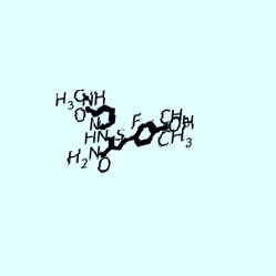 CNC(=O)c1cccc(Nc2sc(-c3ccc(C(C)(C)O)cc3F)cc2C(N)=O)n1